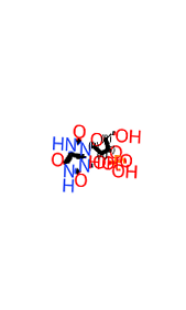 Cn1c(=O)[nH]c(=O)c2[nH]c(=O)n([C@@H]3O[C@H](CO)[C@@H](OP(=O)(O)O)[C@H]3O)c21